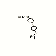 CCCCCCC[C@H]1CC[C@H](c2ccc(OC(F)F)cc2)CC1